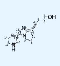 OCCCC#Cc1cccn2c(N3CCCNC3)cnc12